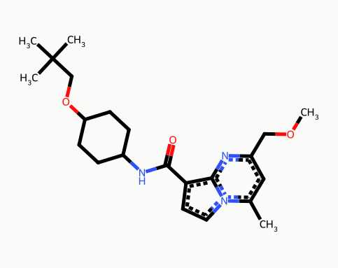 COCc1cc(C)n2ccc(C(=O)NC3CCC(OCC(C)(C)C)CC3)c2n1